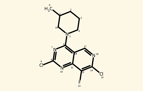 CC1CCCN(c2nc(Cl)nc3c(F)c(Cl)ncc23)C1